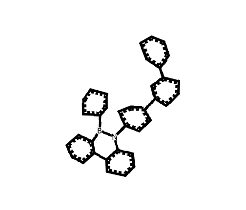 c1ccc(B2c3ccccc3-c3ccccc3N2c2ccc(-c3cccc(-c4ccccc4)c3)cc2)cc1